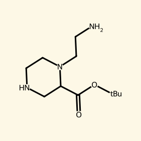 CC(C)(C)OC(=O)C1CNCCN1CCN